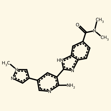 CN(C)C(=O)c1ccc2nc(-c3cc(-c4cnn(C)c4)cnc3N)[nH]c2c1